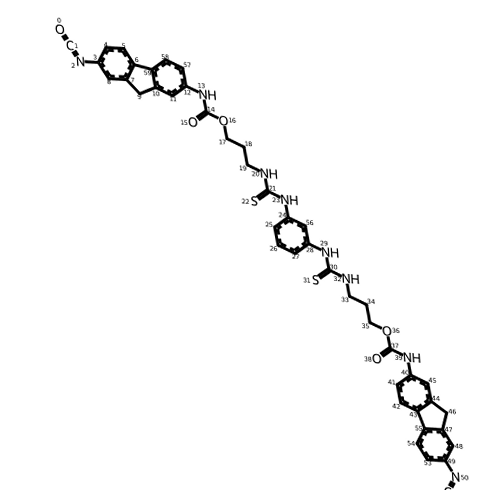 O=C=Nc1ccc2c(c1)Cc1cc(NC(=O)OCCCNC(=S)Nc3cccc(NC(=S)NCCCOC(=O)Nc4ccc5c(c4)Cc4cc(N=C=O)ccc4-5)c3)ccc1-2